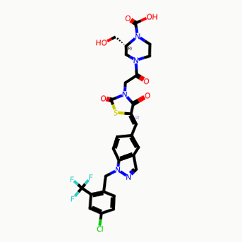 O=C(CN1C(=O)S/C(=C\c2ccc3c(cnn3Cc3ccc(Cl)cc3C(F)(F)F)c2)C1=O)N1CCN(C(=O)O)[C@@H](CO)C1